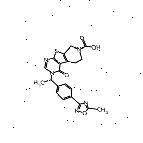 Cc1nc(-c2ccc(C(C)n3cnc4sc5c(c4c3=O)CCN(C(=O)O)C5)cc2)no1